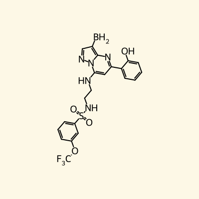 Bc1cnn2c(NCCNS(=O)(=O)c3cccc(OC(F)(F)F)c3)cc(-c3ccccc3O)nc12